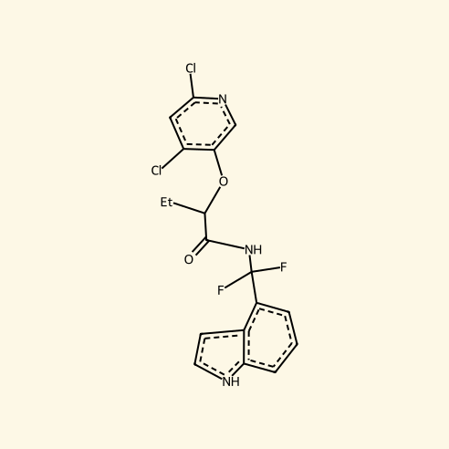 CCC(Oc1cnc(Cl)cc1Cl)C(=O)NC(F)(F)c1cccc2[nH]ccc12